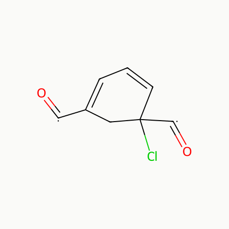 O=[C]C1=CC=CC(Cl)([C]=O)C1